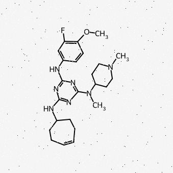 COc1ccc(Nc2nc(NC3CCC=CCC3)nc(N(C)C3CCN(C)CC3)n2)cc1F